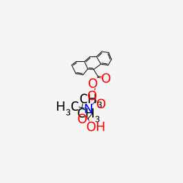 CC(C)(C)N(CC(=O)O)C(=O)OCOC(=O)c1c2ccccc2cc2ccccc12